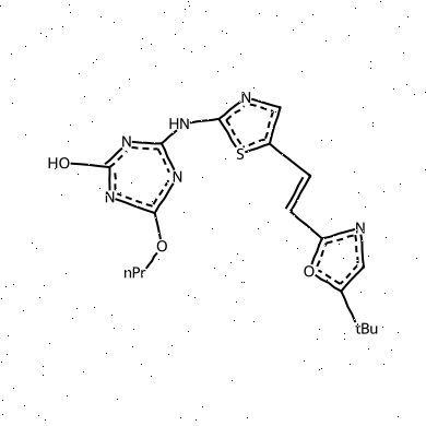 CCCOc1nc(O)nc(Nc2ncc(C=Cc3ncc(C(C)(C)C)o3)s2)n1